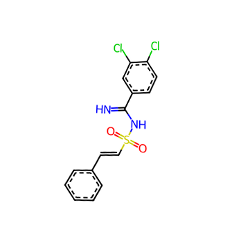 N=C(NS(=O)(=O)/C=C/c1ccccc1)c1ccc(Cl)c(Cl)c1